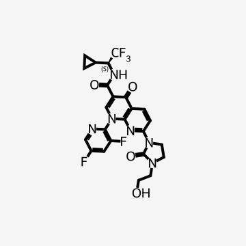 O=C(N[C@@H](C1CC1)C(F)(F)F)c1cn(-c2ncc(F)cc2F)c2nc(N3CCN(CCO)C3=O)ccc2c1=O